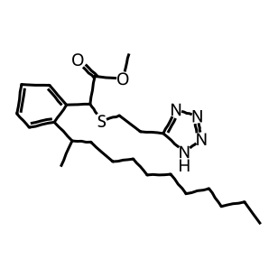 CCCCCCCCCCC(C)c1ccccc1C(SCCc1nnn[nH]1)C(=O)OC